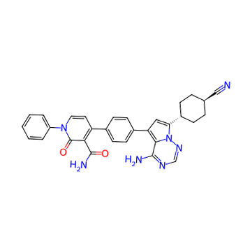 N#C[C@H]1CC[C@H](c2cc(-c3ccc(-c4ccn(-c5ccccc5)c(=O)c4C(N)=O)cc3)c3c(N)ncnn32)CC1